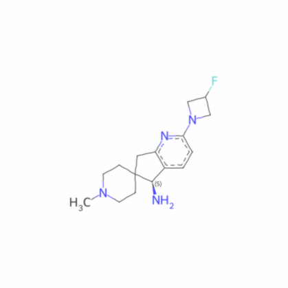 CN1CCC2(CC1)Cc1nc(N3CC(F)C3)ccc1[C@H]2N